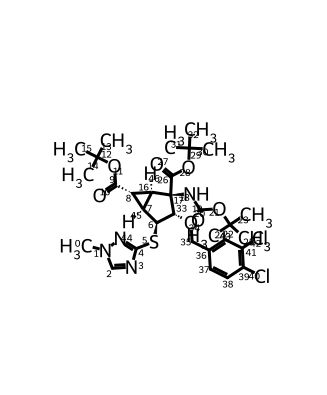 Cn1cnc(S[C@H]2[C@H]3[C@H](C(=O)OC(C)(C)C)[C@H]3[C@](NC(=O)OC(C)(C)C)(C(=O)OC(C)(C)C)[C@@H]2OCc2ccc(Cl)c(Cl)c2)n1